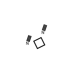 C#N.C#N.C1CCC1